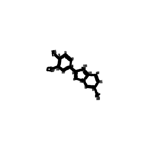 Fc1ccc(-c2cn3cc(Br)ccc3n2)cc1Cl